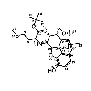 CO[C@@]12CCC(N[C@@H](CCSC)C(=O)OC(C)(C)C)C3Oc4c(O)ccc5c4[C@@]31CCN(C)[C@@H]2C5